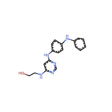 OCCNc1cc(Nc2ccc(Nc3ccccc3)cc2)ncn1